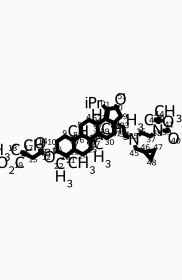 CC(C)C1=C2[C@H]3CCC4[C@@]5(C)CC[C@H](OC(=O)CC(C)(C)C(=O)O)C(C)(C)C5CC[C@@]4(C)[C@]3(C)CC[C@@]2(CCN(CCN2C(=O)OC2(C)C)CC2CC2)CC1=O